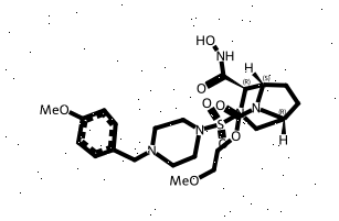 COCCOC(=O)N1[C@@H]2CC[C@H]1[C@H](C(=O)NO)N(S(=O)(=O)N1CCN(Cc3ccc(OC)cc3)CC1)C2